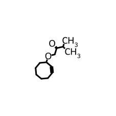 CC(C)C(=O)COC1C#CCCCCC1